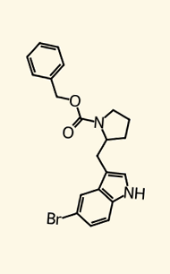 O=C(OCc1ccccc1)N1CCCC1Cc1c[nH]c2ccc(Br)cc12